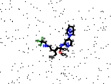 CC/C(=C\C(C)(/N=c1/cc(N2CC3CCC(C2)N3)cc[nH]1)OC)CCNCC(F)(F)F